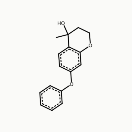 CC1(O)CCOc2cc(Oc3ccccc3)ccc21